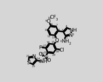 Nc1n[nH]cc1-c1cc(OC(F)(F)F)ccc1Oc1cc(F)c(S(=O)(=O)Nc2cscn2)cc1Cl